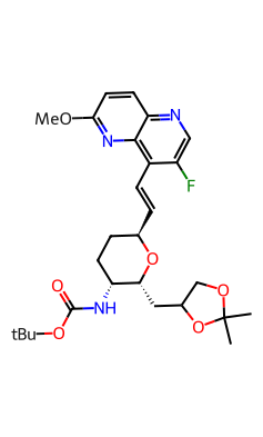 COc1ccc2ncc(F)c(/C=C/[C@@H]3CC[C@@H](NC(=O)OC(C)(C)C)[C@@H](CC4COC(C)(C)O4)O3)c2n1